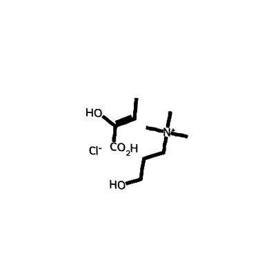 CC=C(O)C(=O)O.C[N+](C)(C)CCCO.[Cl-]